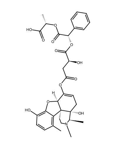 Cc1ccc(O)c2c1[C@]13CCN(C)[C@H](C)[C@]1(O)CC=C(OC(=O)C[C@H](O)C(=O)O[C@H](C(=O)O[C@@H](C)C(=O)O)c1ccccc1)[C@@H]3O2